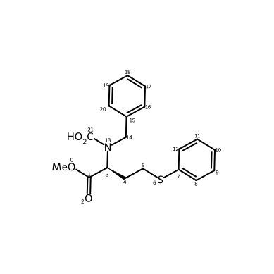 COC(=O)[C@H](CCSc1ccccc1)N(Cc1ccccc1)C(=O)O